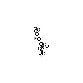 C=C(C)C(=O)OCC(=O)Oc1ccc(-c2ccc(-c3ccc(OC(=O)C(=C)C)cc3)c(F)c2)cc1OC=O